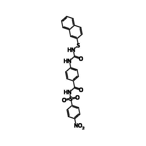 O=C(NSc1ccc2ccccc2c1)Nc1ccc(C(=O)NS(=O)(=O)c2ccc([N+](=O)[O-])cc2)cc1